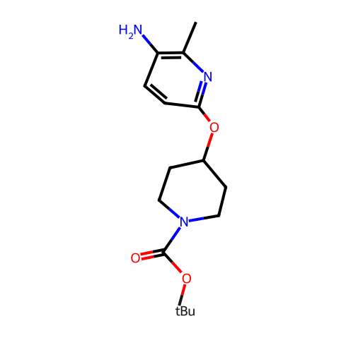 Cc1nc(OC2CCN(C(=O)OC(C)(C)C)CC2)ccc1N